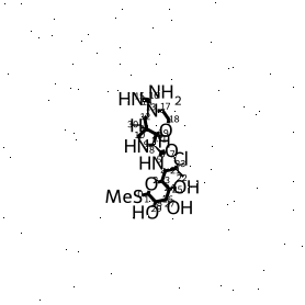 CSC1OC([C@H](NC(=O)[C@H]2NC[C@@H]3CN(C(=N)N)CCO[C@H]32)[C@H](C)Cl)C(O)C(O)C1O